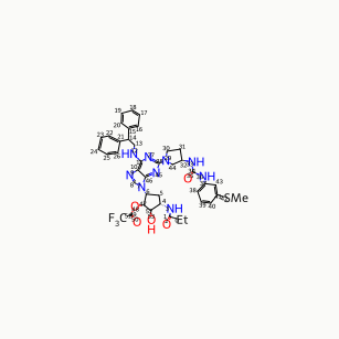 CCC(=O)N[C@H]1C[C@@H](n2cnc3c(NCC(c4ccccc4)c4ccccc4)nc(N4CC[C@@H](NC(=O)Nc5cccc(SC)c5)C4)nc32)[C@H](OC(=O)C(F)(F)F)[C@@H]1O